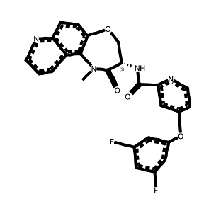 CN1C(=O)[C@@H](NC(=O)c2cc(Oc3cc(F)cc(F)c3)ccn2)COc2ccc3ncccc3c21